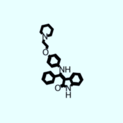 O=C1Nc2ccccc2C1=C(Nc1ccc(OCCN2CCCCC2)cc1)c1ccccc1